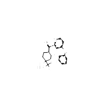 CC(C)(C)C1(O)CCC(C(=O)c2cc(Oc3ccccc3)ccn2)CC1